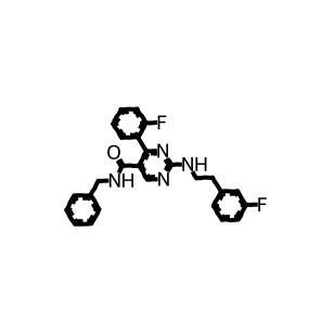 O=C(NCc1ccccc1)c1cnc(NCCc2cccc(F)c2)nc1-c1ccccc1F